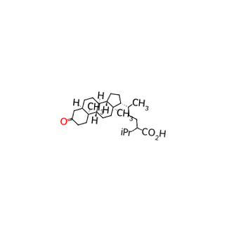 CC(C)C(CCC(C)[C@H]1CC[C@H]2[C@@H]3CC[C@@H]4CC(=O)CC[C@]4(C)[C@H]3CC[C@]12C)C(=O)O